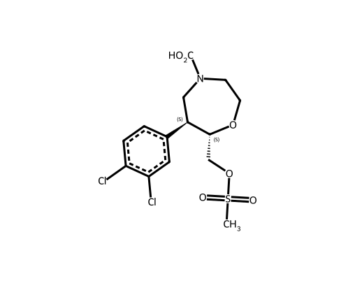 CS(=O)(=O)OC[C@H]1OCCN(C(=O)O)C[C@@H]1c1ccc(Cl)c(Cl)c1